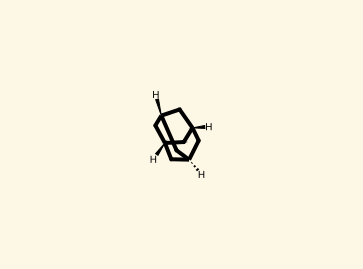 [CH]1[C@H]2C[C@@H]3C[C@@H]1C[C@@H](C2)C3